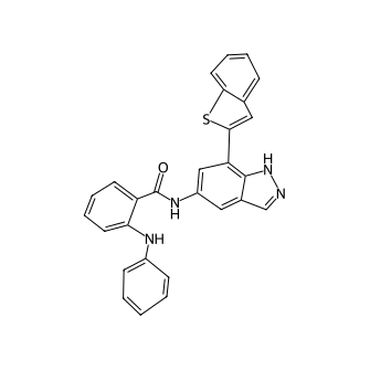 O=C(Nc1cc(-c2cc3ccccc3s2)c2[nH]ncc2c1)c1ccccc1Nc1ccccc1